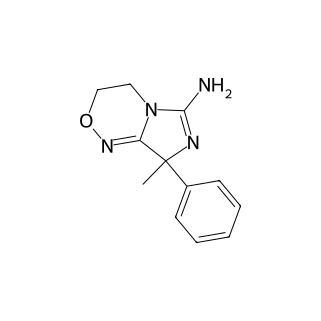 CC1(c2ccccc2)N=C(N)N2CCON=C21